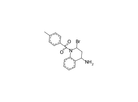 Cc1ccc(S(=O)(=O)N2c3ccccc3C(N)CC2Br)cc1